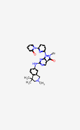 CC(C)n1c(=O)c2cnc(Nc3ccc4c(c3)CN(C)CC4(C)C)nc2n1-c1cccc(-n2ccccc2=O)n1